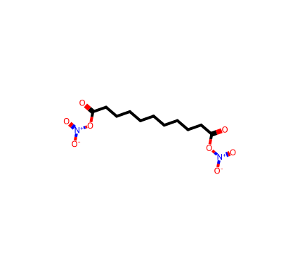 O=C(CCCCCCCCCC(=O)O[N+](=O)[O-])O[N+](=O)[O-]